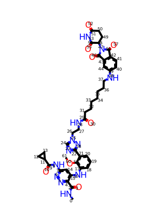 CNC(=O)c1nnc(NC(=O)C2CC2)cc1Nc1cccc(-c2ncn(CCNC(=O)CCCCCCCNc3ccc4c(c3)C(=O)N(C3CCC(=O)NC3=O)C4=O)n2)c1OC